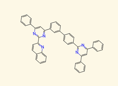 c1ccc(-c2cc(-c3ccccc3)nc(-c3ccc(-c4cccc(-c5cc(-c6ccccc6)nc(-c6ccc7ccccc7n6)n5)c4)cc3)n2)cc1